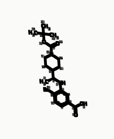 C[C@H](Nc1cc(C(=O)O)ccc1Br)C1CCN(C(=O)OC(C)(C)C)CC1